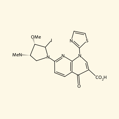 CN[C@H]1CN(c2ccc3c(=O)c(C(=O)O)cn(-c4nccs4)c3n2)C(I)[C@H]1OC